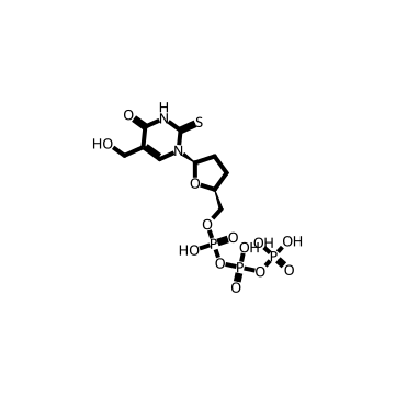 O=c1[nH]c(=S)n([C@H]2CC[C@@H](COP(=O)(O)OP(=O)(O)OP(=O)(O)O)O2)cc1CO